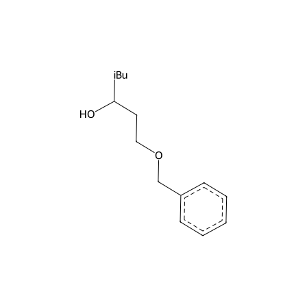 CCC(C)C(O)CCOCc1ccccc1